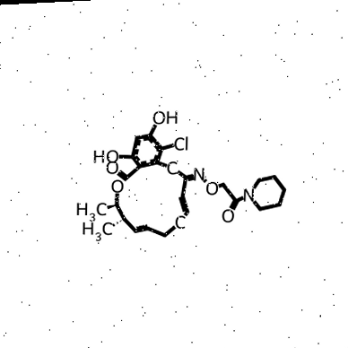 C[C@H]1/C=C/CC/C=C/C(=N\OCC(=O)N2CCCCC2)Cc2c(Cl)c(O)cc(O)c2C(=O)O[C@@H]1C